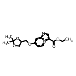 CCOC(=O)c1cnc2cc(OCC3COC(C)(C)O3)ccn12